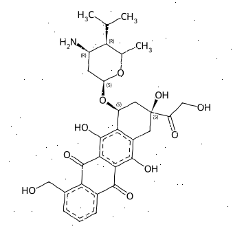 CC(C)[C@H]1C(C)O[C@@H](O[C@H]2C[C@](O)(C(=O)CO)Cc3c(O)c4c(c(O)c32)C(=O)c2c(CO)cccc2C4=O)C[C@H]1N